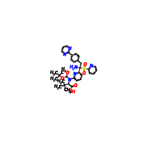 CC(C)(C)OC(=O)N(c1cccc(C(N)(Cc2ccc(-c3ncccn3)cc2)S(=O)(=O)c2ccccn2)n1)C(C(=O)O)C(C)(C)C